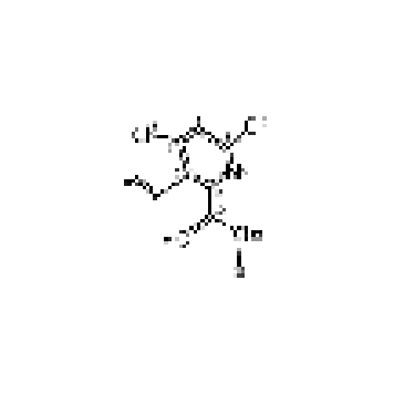 C=Cc1c(Cl)cc(Cl)nc1C(=O)OC